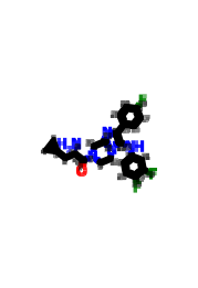 N[C@@H](CC1CC1)C(=O)N1CCn2c(nc(-c3ccc(F)cc3)c2Nc2ccc(F)c(F)c2)C1